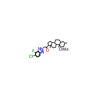 COCC12CCC(C)CC1CCC1C3CCC(C(=O)Cn4nc5ccc(Cl)c(F)c5n4)C3(C)CCC12